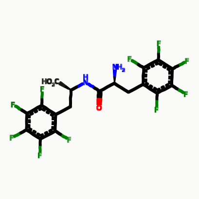 N[C@@H](Cc1c(F)c(F)c(F)c(F)c1F)C(=O)N[C@@H](Cc1c(F)c(F)c(F)c(F)c1F)C(=O)O